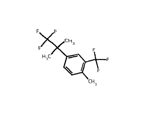 Cc1ccc(C(C)(C)C(F)(F)F)cc1C(F)(F)F